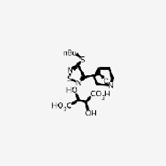 CCCCSc1nsnc1C1CN2CCC1CC2.O=C(O)C(O)C(O)C(=O)O